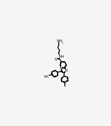 Cc1ccc(-c2nc3ccc(C(=O)NCCCCN)cn3c2-c2ccc(C#N)cc2)cc1